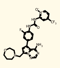 Nc1ncnn2c(CN3CCCOCC3)cc(-c3ccc(NC(=O)Nc4cc(C(F)(F)F)cc[n+]4[O-])c(F)c3)c12